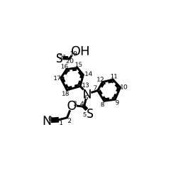 N#CCOC(=S)N(c1ccccc1)c1ccccc1.OC=S